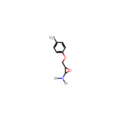 CCN(CC)C1OC1COc1ccc([N+](=O)[O-])cc1